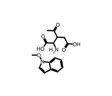 CC(=O)C(CC(=O)O)C(N)C(=O)O.COn1ccc2ccccc21